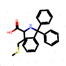 CSCCC(NC(c1ccccc1)(c1ccccc1)c1ccccc1)C(=O)O